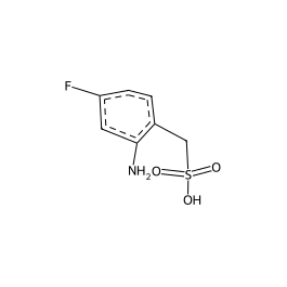 Nc1cc(F)ccc1CS(=O)(=O)O